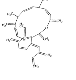 C=CC(=C)/C=C(\C=C/C(=C)/C=C\C)C1=N/C=N\C(=C)C(C)/C=C\C(C)/C=C\C(=C)OC\1=C